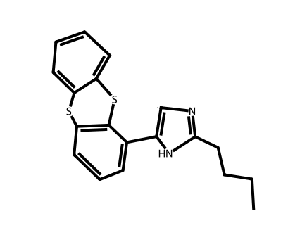 CCCCc1n[c]c(-c2cccc3c2Sc2ccccc2S3)[nH]1